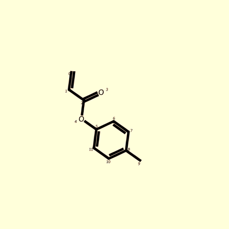 C=CC(=O)Oc1[c]cc(C)cc1